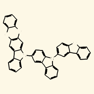 c1ccc2c(c1)Oc1cc3c4ccccc4n(-c4ccc5c(c4)c4ccccc4n5-c4ccc5oc6ccccc6c5c4)c3cc1O2